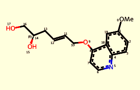 COc1ccc2nccc(OCC=CC[C@@H](O)CO)c2c1